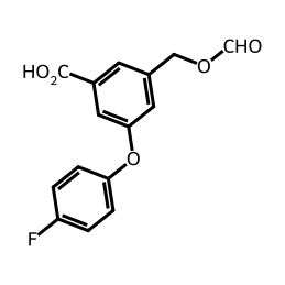 O=COCc1cc(Oc2ccc(F)cc2)cc(C(=O)O)c1